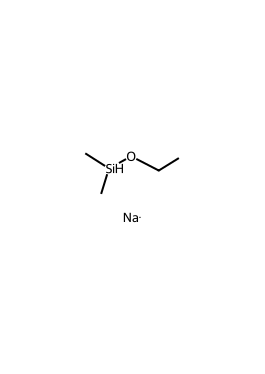 CCO[SiH](C)C.[Na]